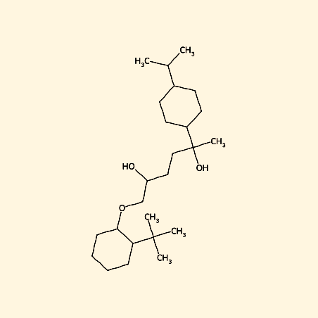 CC(C)C1CCC(C(C)(O)CCC(O)COC2CCCCC2C(C)(C)C)CC1